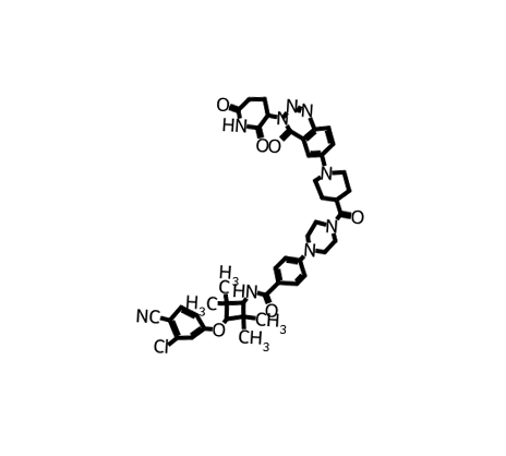 CC1(C)C(NC(=O)c2ccc(N3CCN(C(=O)C4CCN(c5ccc6nnn(C7CCC(=O)NC7=O)c(=O)c6c5)CC4)CC3)cc2)C(C)(C)C1Oc1ccc(C#N)c(Cl)c1